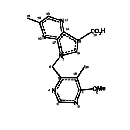 COc1ncnc(Cn2cc(C(=O)O)c3ncc(C)nc32)c1C